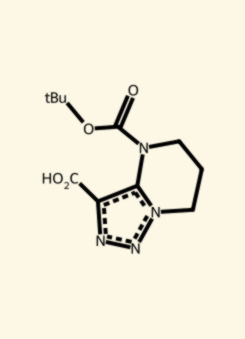 CC(C)(C)OC(=O)N1CCCn2nnc(C(=O)O)c21